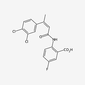 C/C(=C/C(=O)Nc1ccc(F)cc1C(=O)O)c1ccc(Cl)c(Cl)c1